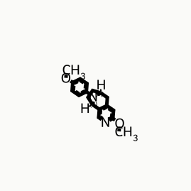 COc1ccc(N2[C@H]3CC[C@@H]2c2cnc(OC)cc2C3)cc1